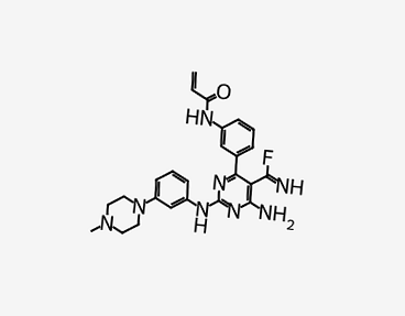 C=CC(=O)Nc1cccc(-c2nc(Nc3cccc(N4CCN(C)CC4)c3)nc(N)c2C(=N)F)c1